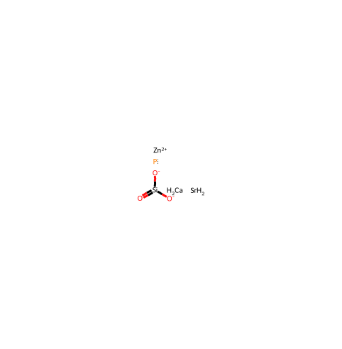 O=[Si]([O-])[O-].[CaH2].[P].[SrH2].[Zn+2]